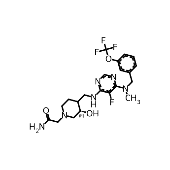 CN(Cc1cccc(OC(F)(F)F)c1)c1ncnc(NCC2CCN(CC(N)=O)C[C@@H]2O)c1F